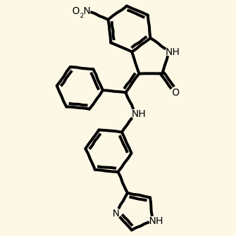 O=C1Nc2ccc([N+](=O)[O-])cc2C1=C(Nc1cccc(-c2c[nH]cn2)c1)c1ccccc1